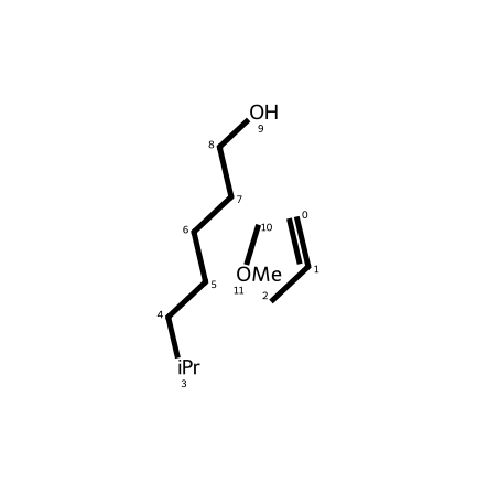 C=CC.CC(C)CCCCCO.COC